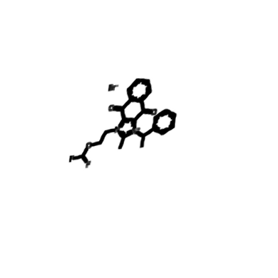 Cc1n(CCOC(F)F)c2c([n+]1C(C)c1ccccc1)C(=O)c1ccccc1C2=O.[Br-]